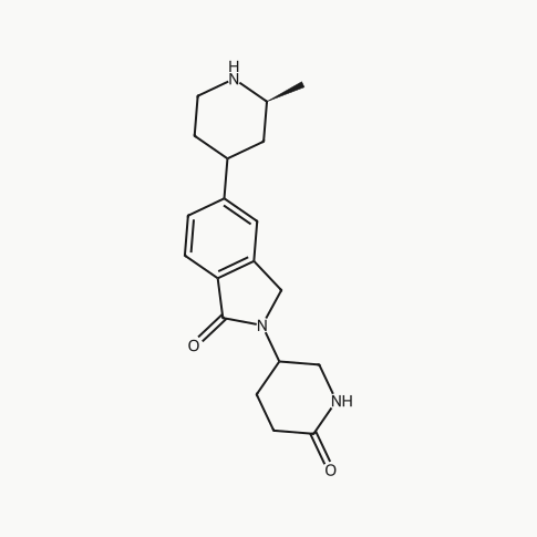 C[C@H]1CC(c2ccc3c(c2)CN(C2CCC(=O)NC2)C3=O)CCN1